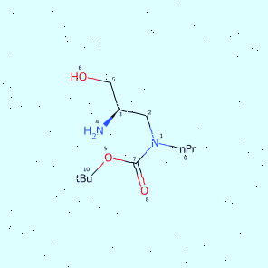 CCCN(C[C@@H](N)CO)C(=O)OC(C)(C)C